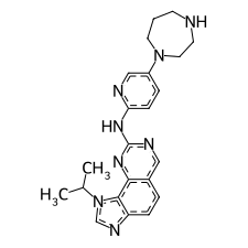 CC(C)n1cnc2ccc3cnc(Nc4ccc(N5CCCNCC5)cn4)nc3c21